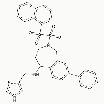 O=S(=O)(c1cccc2ccccc12)S(=O)(=O)N1CCC(NCc2c[nH]cn2)c2ccc(-c3ccccc3)cc2C1